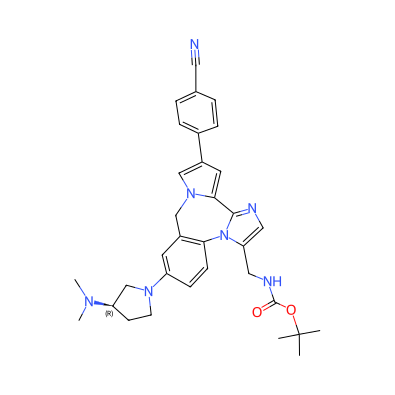 CN(C)[C@@H]1CCN(c2ccc3c(c2)Cn2cc(-c4ccc(C#N)cc4)cc2-c2ncc(CNC(=O)OC(C)(C)C)n2-3)C1